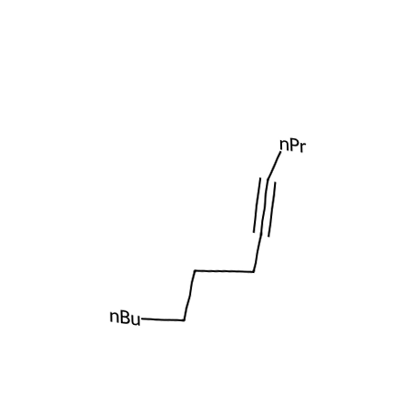 [CH2]CCC#CCCCCCC[CH2]